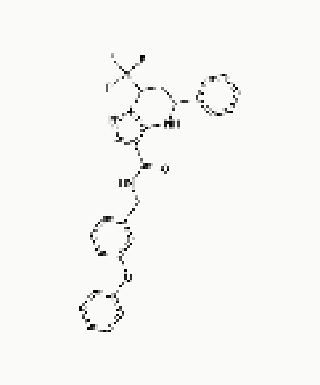 O=C(NCc1cccc(Oc2ccccc2)c1)c1cnn2c1NC(c1ccccc1)CC2C(F)(F)F